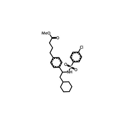 COC(=O)CCCc1ccc(C(CC2CCCCC2)NS(=O)(=O)c2ccc(Cl)cc2)cc1